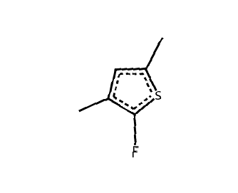 Cc1cc(C)c(F)s1